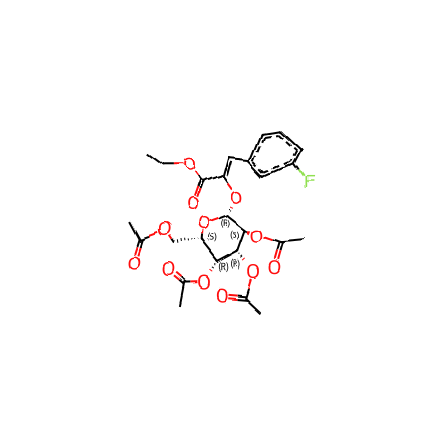 CCOC(=O)C(=Cc1cccc(F)c1)O[C@H]1O[C@@H](COC(C)=O)[C@@H](OC(C)=O)[C@@H](OC(C)=O)[C@@H]1OC(C)=O